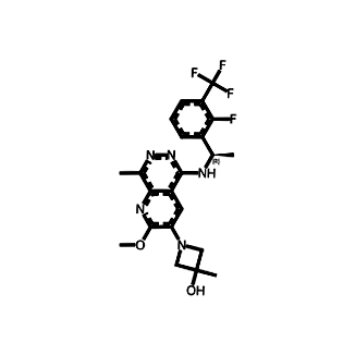 COc1nc2c(C)nnc(N[C@H](C)c3cccc(C(F)(F)F)c3F)c2cc1N1CC(C)(O)C1